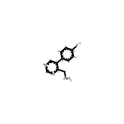 NCc1ncncc1-c1ccc(F)cc1